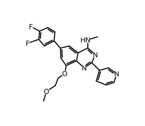 CNc1nc(-c2cccnc2)nc2c(OCCOC)cc(-c3ccc(F)c(F)c3)cc12